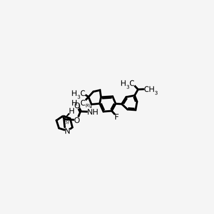 CC(C)c1cccc(-c2cc3c(cc2F)[C@H](NC(=O)O[C@@H]2CN4CCC2CC4)C(C)(C)CC3)c1